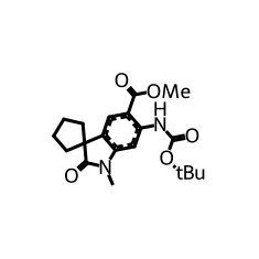 COC(=O)c1cc2c(cc1NC(=O)OC(C)(C)C)N(C)C(=O)C21CCCC1